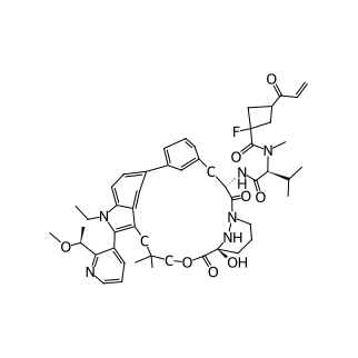 C=CC(=O)C1CC(F)(C(=O)N(C)[C@H](C(=O)N[C@H]2Cc3cccc(c3)-c3ccc4c(c3)c(c(-c3cccnc3[C@H](C)OC)n4CC)CC(C)(C)COC(=O)[C@@]3(O)CCCN(N3)C2=O)C(C)C)C1